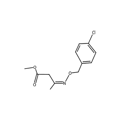 COC(=O)CC(C)=NOCc1ccc(Cl)cc1